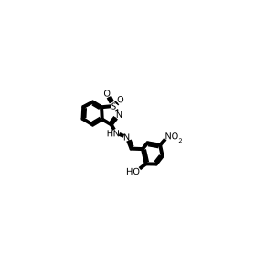 O=[N+]([O-])c1ccc(O)c(/C=N/NC2=NS(=O)(=O)c3ccccc32)c1